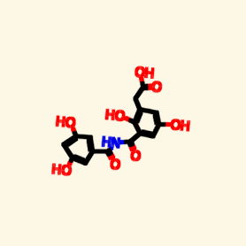 O=C(O)Cc1cc(O)cc(C(=O)NC(=O)c2cc(O)cc(O)c2)c1O